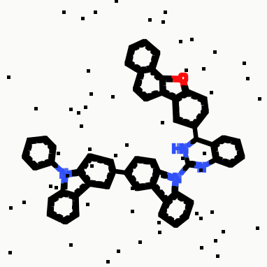 c1ccc(-n2c3ccccc3c3cc(-c4ccc5c(c4)c4ccccc4n5C4=Nc5ccccc5C(c5ccc6oc7c8ccccc8ccc7c6c5)N4)ccc32)cc1